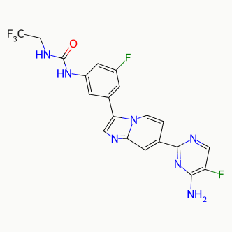 Nc1nc(-c2ccn3c(-c4cc(F)cc(NC(=O)NCC(F)(F)F)c4)cnc3c2)ncc1F